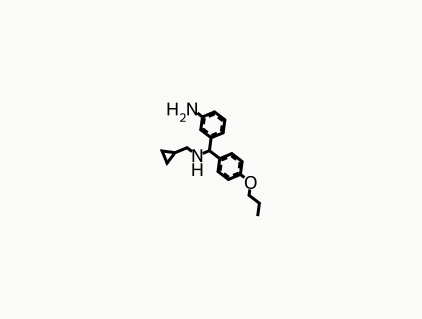 CCCOc1ccc(C(NCC2CC2)c2cccc(N)c2)cc1